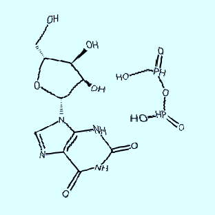 O=[PH](O)O[PH](=O)O.O=c1[nH]c(=O)c2ncn([C@@H]3O[C@H](CO)[C@@H](O)[C@H]3O)c2[nH]1